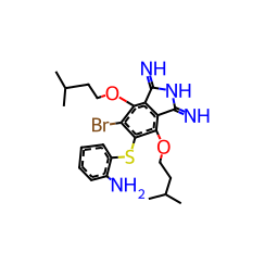 CC(C)CCOc1c(Br)c(Sc2ccccc2N)c(OCCC(C)C)c2c1C(=N)NC2=N